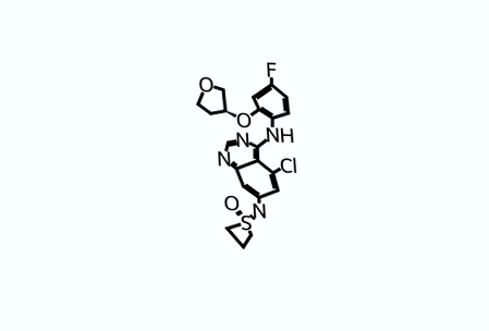 O=S1(=Nc2cc(Cl)c3c(Nc4ccc(F)cc4O[C@H]4CCOC4)ncnc3c2)CCC1